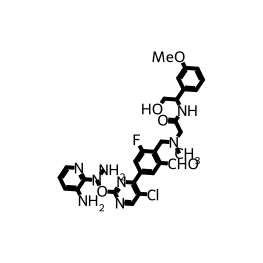 COc1cccc(C(CO)NC(=O)CN(C)Cc2c(F)cc(-c3nc(ON(N)c4ncccc4N)ncc3Cl)cc2C=O)c1